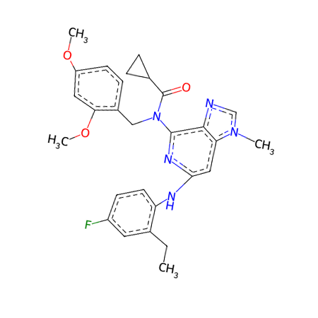 CCc1cc(F)ccc1Nc1cc2c(ncn2C)c(N(Cc2ccc(OC)cc2OC)C(=O)C2CC2)n1